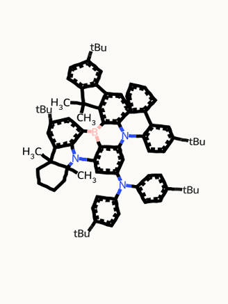 CC(C)(C)c1ccc(N(c2ccc(C(C)(C)C)cc2)c2cc3c4c(c2)N2c5c(cc(C(C)(C)C)cc5C5(C)CCCCC25C)B4c2c(ccc4c2C(C)(C)c2ccc(C(C)(C)C)cc2-4)N3c2ccc(C(C)(C)C)cc2-c2ccccc2)cc1